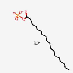 CCCCCCCCCCCCCCCCCC(=O)OP(=O)([O-])[O-].[Ba+2]